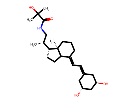 C[C@H](CNC(=O)C(C)(C)O)[C@H]1CCC2/C(=C/C=C3C[C@@H](O)C[C@H](O)C3)CCC[C@@]21C